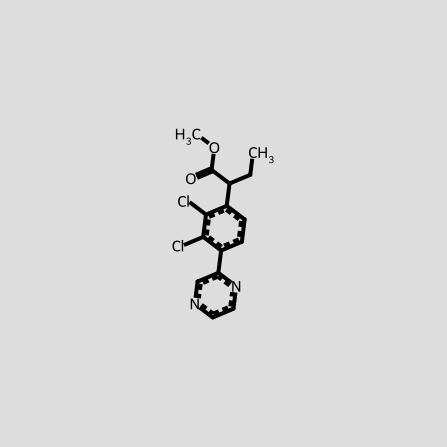 CCC(C(=O)OC)c1ccc(-c2cnccn2)c(Cl)c1Cl